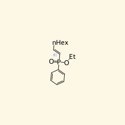 CCCCCC/C=C/P(=O)(OCC)c1ccccc1